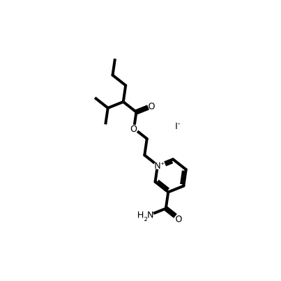 CCCC(C(=O)OCC[n+]1cccc(C(N)=O)c1)C(C)C.[I-]